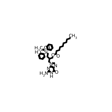 CCCCCCCCCC(=O)OCC(CC[Si](c1ccccc1)(c1ccccc1)C(C)(C)C)Cn1cnc2c(=O)[nH]c(N)nc21